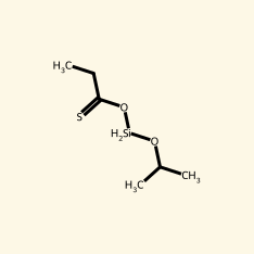 CCC(=S)O[SiH2]OC(C)C